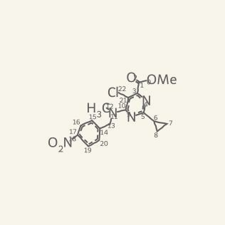 COC(=O)c1nc(C2CC2)nc(N(C)Cc2ccc([N+](=O)[O-])cc2)c1Cl